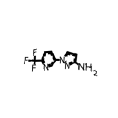 Nc1ccn(-c2ccc(C(F)(F)F)nc2)n1